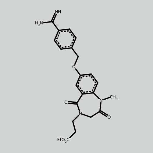 CCOC(=O)CCN1CC(=O)N(C)c2ccc(OCc3ccc(C(=N)N)cc3)cc2C1=O